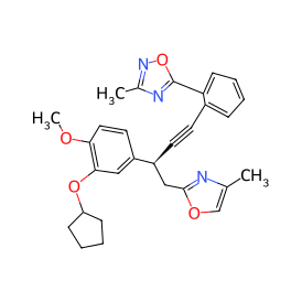 COc1ccc([C@@H](C#Cc2ccccc2-c2nc(C)no2)Cc2nc(C)co2)cc1OC1CCCC1